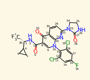 O=C(N[C@H](C1CC1)C(F)(F)F)c1cn(-c2c(Cl)cc(F)cc2Cl)c2nc(N3CCNC3=O)ccc2c1=O